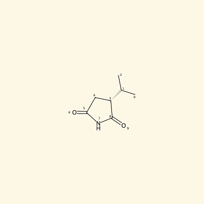 CC(C)[C@H]1CC(=O)NC1=O